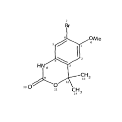 COc1cc2c(cc1Br)NC(=O)OC2(C)C